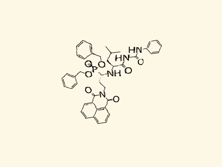 CC(C)C[C@H](N[C@H](CCN1C(=O)c2cccc3cccc(c23)C1=O)P(=O)(OCc1ccccc1)OCc1ccccc1)C(=O)NC(=O)Nc1ccccc1